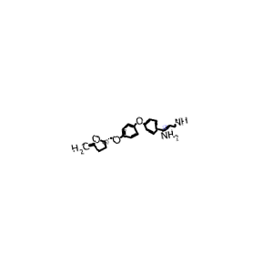 C=C1CC[C@@H](COc2ccc(Oc3ccc(/C(N)=C/C=N)cc3)cc2)O1